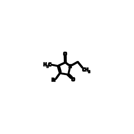 CCN1C(=O)C(C)=C(Br)C1=O